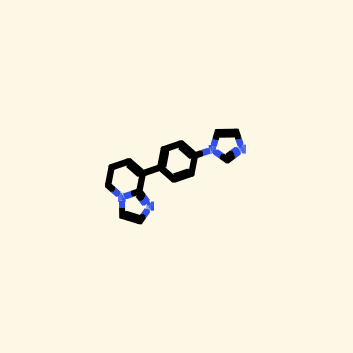 C1=C(c2ccc(-n3ccnc3)cc2)c2nccn2CC1